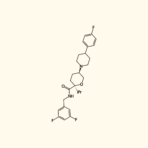 CC(C)[C@]1(C(=O)NCc2cc(F)cc(F)c2)CC[C@@H](N2CCC(c3ccc(F)cc3)CC2)CO1